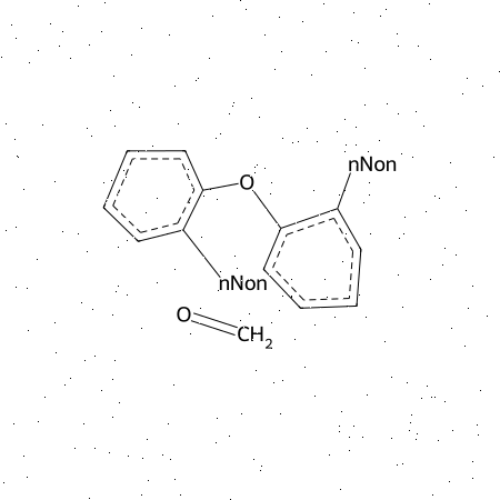 C=O.CCCCCCCCCc1ccccc1Oc1ccccc1CCCCCCCCC